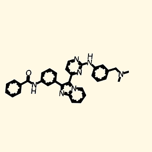 CN(C)Cc1cccc(Nc2nccc(-c3c(-c4cccc(NC(=O)c5ccccc5)c4)nc4ccccn34)n2)c1